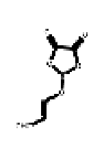 O=CC=COB1OC(=O)C(=O)O1